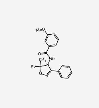 CCC1(C)ON=C(c2ccccc2)N1NC(=O)c1cccc(OC)c1